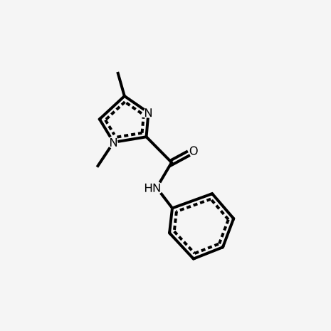 Cc1cn(C)c(C(=O)Nc2ccccc2)n1